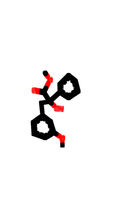 COC(=O)C(O)(Cc1cccc(OC)c1)c1ccccc1